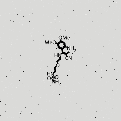 COc1cc(N)c(/C(NCCOCCNS(N)(=O)=O)=C(\C)C#N)cc1OC